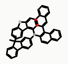 CC1(C)c2ccccc2-c2ccc(N(c3ccc4ccccc4c3-c3ccc4ccccc4c3)c3cccc4oc5ccccc5c34)cc21